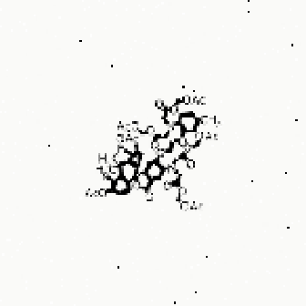 CC(=O)OCOC(=O)CN(CC(=O)OCOC(C)=O)c1ccc(C)cc1OCCOc1cc2c(cc1N(CC(=O)OCOC(C)=O)CC(=O)OCOC(C)=O)C(=O)OC21c2ccc(OC(C)=O)c(F)c2C(C)(C)c2c1ccc(OC(C)=O)c2F